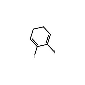 IC1=CCCC=C1I